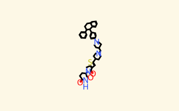 O=C1CCC(N2Cc3sc(C4CCN(CC5CCN(c6ccc(C7c8ccccc8CCC7c7ccccc7)cc6)CC5)CC4)cc3C2=O)C(=O)N1